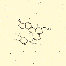 Cc1cc(-n2cc(CN3C[C@H](CO)N[C@H](c4ccc5c(c4C)COC5=O)C3)cn2)ncc1C#N